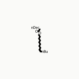 CCCC/C=C\CCCCCCCCOC(=O)CCCCCCCCCCC